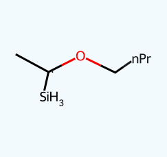 CCCCO[C](C)[SiH3]